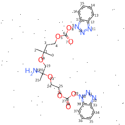 CC(C)(CCOC(=O)On1nnc2ccccc21)OCC(C)(N)OCCOC(=O)On1nnc2ccccc21